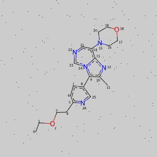 CCOCCc1ccc(-c2c(C)nc3c(N4CCOCC4)cncn23)cn1